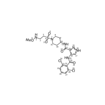 CONCCS(=O)(=O)N1CCC(NC(=O)c2n[nH]cc2NC(=O)c2c(Cl)cccc2Cl)CC1